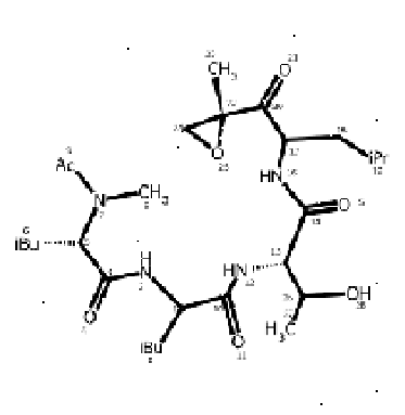 CCC(C)C(NC(=O)C([C@@H](C)CC)N(C)C(C)=O)C(=O)N[C@H](C(=O)NC(CC(C)C)C(=O)[C@@]1(C)CO1)C(C)O